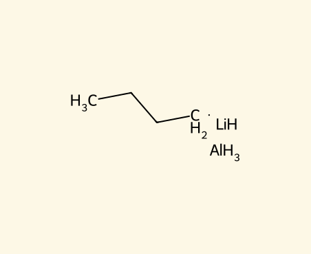 [AlH3].[CH2]CCC.[LiH]